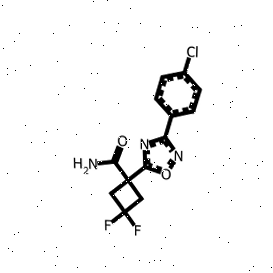 NC(=O)C1(c2nc(-c3ccc(Cl)cc3)no2)CC(F)(F)C1